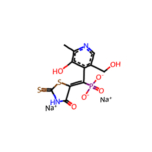 Cc1ncc(CO)c(C(=C2SC(=S)NC2=O)P(=O)([O-])[O-])c1O.[Na+].[Na+]